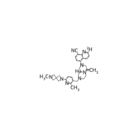 [2H]c1ccc2c(N3C[C@@H]4CN(Cc5ccc(N6CC7(CN(C)C7)C6)nc5C)CCN4[C@H](C)C3)ccc(C#N)c2n1